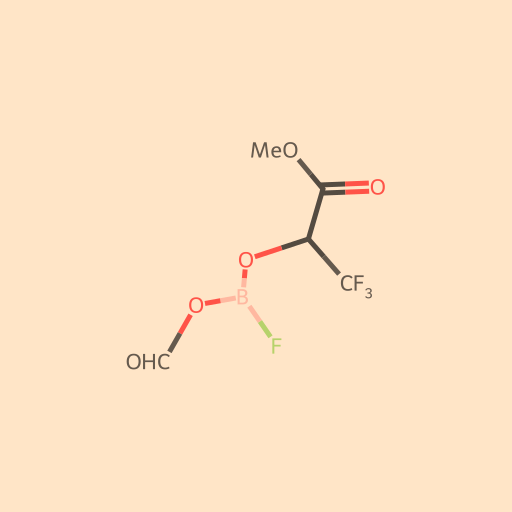 COC(=O)C(OB(F)OC=O)C(F)(F)F